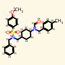 COc1ccc(S(=O)(=O)N(Cc2ccccc2)CC2CCC(N(C=O)Cc3ccc(C)cc3)CC2)cc1